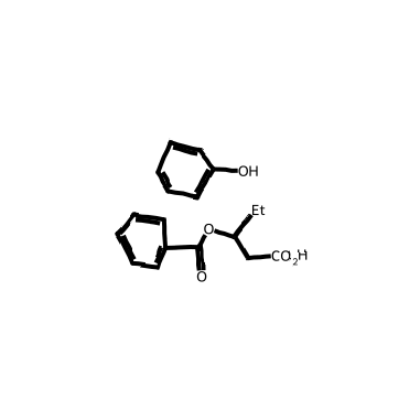 CCC(CC(=O)O)OC(=O)c1ccccc1.Oc1ccccc1